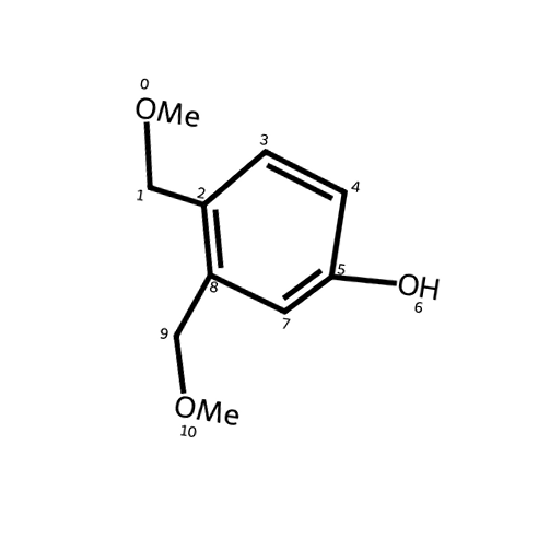 COCc1ccc(O)cc1COC